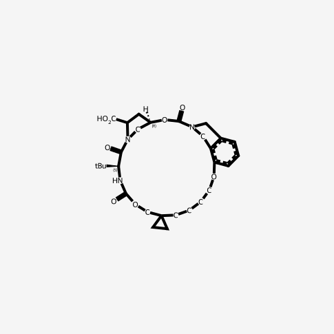 CC(C)(C)[C@@H]1NC(=O)OCC2(CCCCOc3cccc4c3CN(C4)C(=O)O[C@@H]3CC(C(=O)O)N(C3)C1=O)CC2